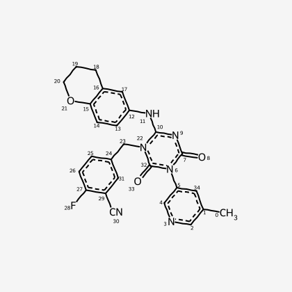 Cc1cncc(-n2c(=O)nc(Nc3ccc4c(c3)CCCO4)n(Cc3ccc(F)c(C#N)c3)c2=O)c1